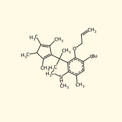 C=CCOc1c(C(C)(C)C)cc(C)c([SiH](C)C)c1C(C)(C)C1=C(C)C(C)C(C)=C1C